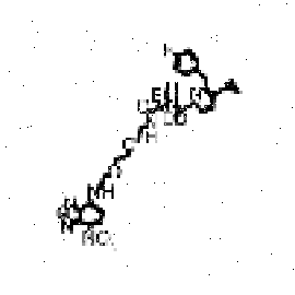 CCC(CC)(NC(=O)c1ccc(C2CC2)c(Cc2ccc(F)cc2)n1)C(=O)NCCOCCOCCNc1ccc([N+](=O)[O-])c2nonc12